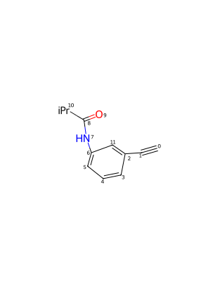 C#Cc1cccc(NC(=O)C(C)C)c1